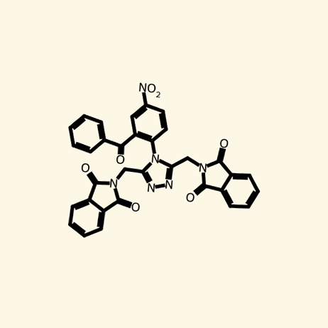 O=C(c1ccccc1)c1cc([N+](=O)[O-])ccc1-n1c(CN2C(=O)c3ccccc3C2=O)nnc1CN1C(=O)c2ccccc2C1=O